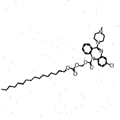 CCCCCCCCCCCCCCCCOC(=O)OCOC(=O)N1c2ccc(Cl)cc2N=C(N2CCN(C)CC2)c2ccccc21